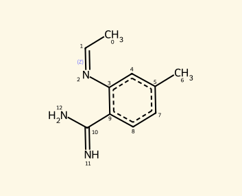 C/C=N\c1cc(C)ccc1C(=N)N